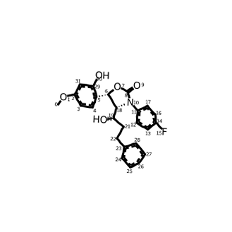 COc1ccc([C@@H]2OC(=O)N(c3ccc(F)cc3)[C@@H]2[C@H](O)CCc2ccccc2)c(O)c1